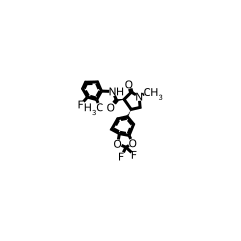 Cc1c(F)cccc1NC(=O)[C@H]1C(=O)N(C)C[C@@H]1c1ccc2c(c1)OC(F)(F)O2